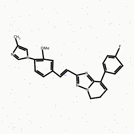 COc1cc(/C=C/c2nc3n(n2)CCC=C3c2ccc(F)cc2)ccc1-n1cnc(C)c1